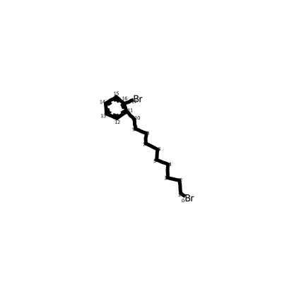 BrCCCCCCCCCCc1ccccc1Br